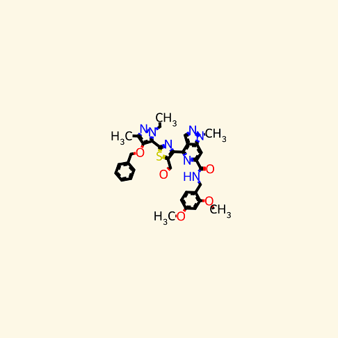 CCn1nc(C)c(OCc2ccccc2)c1-c1nc(-c2nc(C(=O)NCc3ccc(OC)cc3OC)cc3c2cnn3C)c(C=O)s1